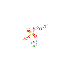 O=S(=O)(O)O.[Al+3].[Cl-].[Cl-].[Cl-]